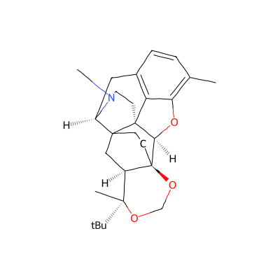 Cc1ccc2c3c1O[C@H]1[C@@]45CCC6(C[C@@H]4[C@@](C)(C(C)(C)C)OCO5)[C@@H](C2)N(C)CC[C@]316